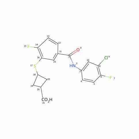 O=C(Nc1ccc(F)c(Cl)c1)c1ccc(F)c(SC2CC(C(=O)O)C2)c1